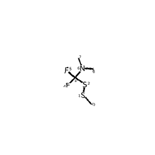 CSSC(F)(F)N(C)C